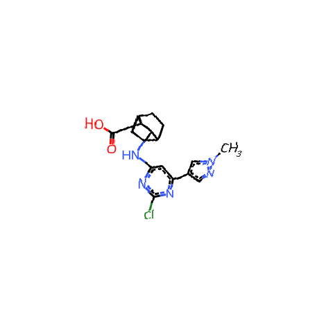 Cn1cc(-c2cc(NC3C4CCC(CC4)C3C(=O)O)nc(Cl)n2)cn1